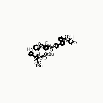 CC(C)(C)OC(=O)COc1c(C(=O)OC(C)(C)C)sc(-c2cccc(N[C@H]3CCN(S(=O)(=O)Cc4cccc(NC(=O)N5CCC(c6ccc7c8c(cccc68)C(=O)N7C6CCC(=O)NC6=O)CC5)c4F)C(C)(C)C3)c2)c1Cl